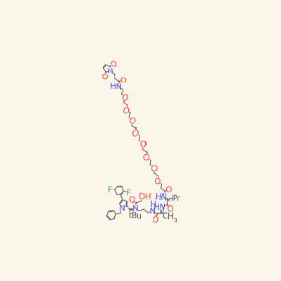 CC(C)[C@H](NC(=O)CCOCCOCCOCCOCCOCCOCCOCCOCCNC(=O)CCN1C(=O)C=CC1=O)C(=O)N[C@@H](C)C(=O)NCCCN(C(=O)CO)[C@@H](c1cc(-c2cc(F)ccc2F)cn1Cc1ccccc1)C(C)(C)C